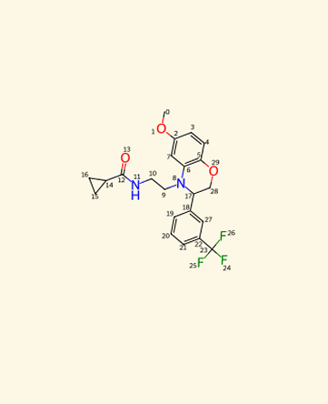 COc1ccc2c(c1)N(CCNC(=O)C1CC1)C(c1cccc(C(F)(F)F)c1)CO2